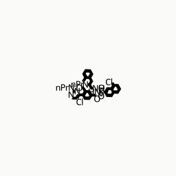 CCCN(CCC)c1ncc(Cl)c(-c2ccc(C(=O)NS(=O)(=O)c3ccc4cccc(Cl)c4c3)cc2C(=O)N2Cc3ccccc3CC2CN)n1